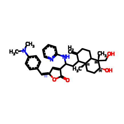 C=C1CCC2[C@](C)(CC[C@@H](O)[C@@]2(C)CO)C1CC(Nc1ccccn1)C1=C/C(=C\c2ccc(N(C)C)cc2)OC1=O